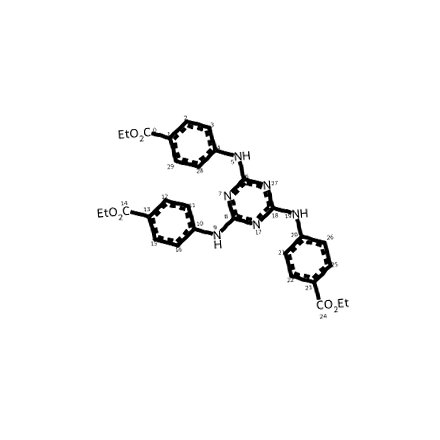 CCOC(=O)c1ccc(Nc2nc(Nc3ccc(C(=O)OCC)cc3)nc(Nc3ccc(C(=O)OCC)cc3)n2)cc1